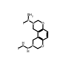 BP(I)N1COc2ccc3c(c2C1)CN(PBI)CO3